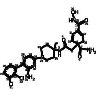 CC1(NC(=O)CC2(C(N)=O)C=CC(C(=O)NO)=CC2)CCN(c2cnc(-c3cccc(Cl)c3Cl)c(N)n2)CC1